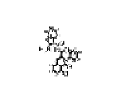 C[C@H](NC(=O)c1c(N)nn2cnccc12)c1cc2cccc(Cl)c2c(=O)n1-c1ccccc1